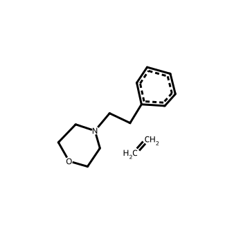 C=C.c1ccc(CCN2CCOCC2)cc1